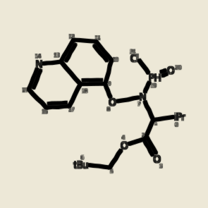 CC(C)C(C(=O)OCC(C)(C)C)N(Oc1cccc2ncccc12)[PH](=O)Cl